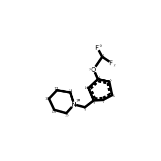 FC(F)Oc1cccc(CN2CCCCC2)c1